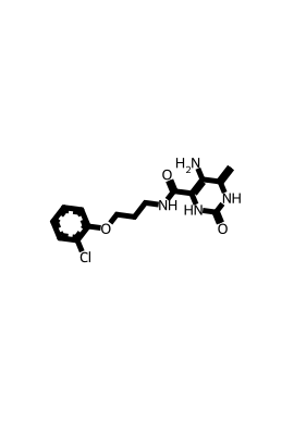 C=C1NC(=O)NC(C(=O)NCCCOc2ccccc2Cl)=C1N